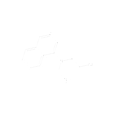 NCCN(ON=O)c1cccc2ccccc12